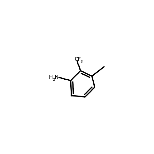 Cc1cccc(N)c1C(F)(F)F